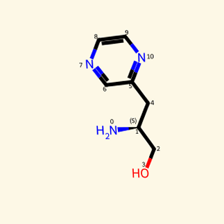 N[C@H](CO)Cc1cnccn1